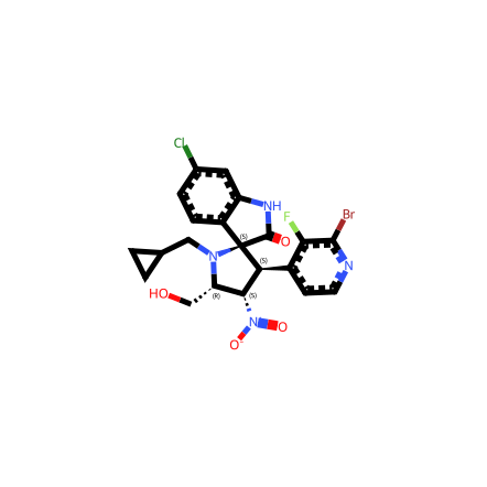 O=C1Nc2cc(Cl)ccc2[C@@]12[C@@H](c1ccnc(Br)c1F)[C@H]([N+](=O)[O-])[C@H](CO)N2CC1CC1